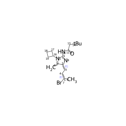 C=c1/c(=C\C=C(/C)Br)nc(NC(=O)CC(C)(C)C)n1C1CCC1